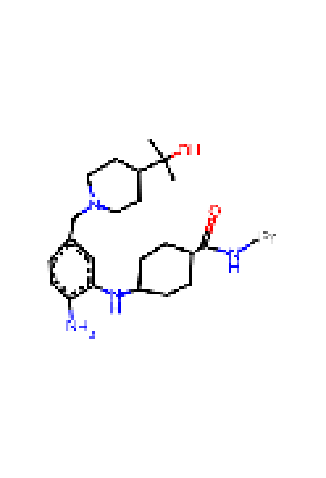 CC(C)NC(=O)[C@H]1CC[C@@H](Nc2cc(CN3CCC(C(C)(C)O)CC3)ccc2N)CC1